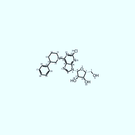 OC[C@H]1O[C@@H](n2cnc3c(N4CCCC(c5ccccc5)C4)nc(Cl)nc32)[C@H](O)[C@@H]1O